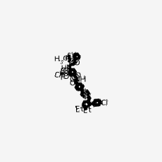 CCC1(CC)CCC(CN2CCN(c3ccc(C(=O)NS(=O)(=O)c4ccc(N[C@H](CCN(C)C)CS(=O)(=O)c5ccccc5)c(S(=O)(=O)C(F)(F)Cl)c4)cc3)CC2)=C(c2ccc(Cl)cc2)C1